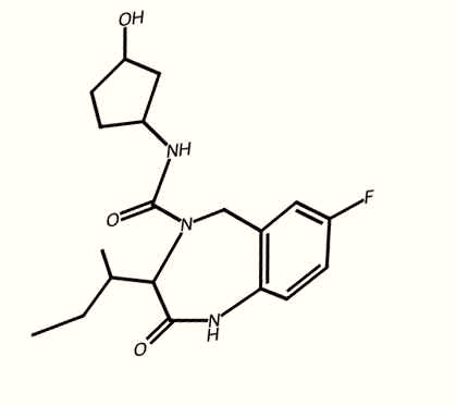 CCC(C)C1C(=O)Nc2ccc(F)cc2CN1C(=O)NC1CCC(O)C1